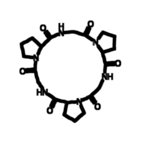 O=C1NCC(=O)N2CCCC2C(=O)NCC(=O)N2CCCC2C(=O)NCC(=O)N2CCCC12